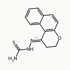 NC(=S)N/N=C1\CCOc2ccc3ccccc3c21